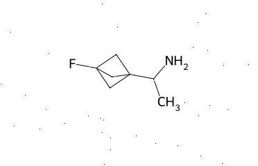 CC(N)C12CC(F)(C1)C2